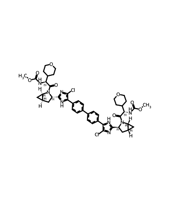 COC(=O)N[C@H](C(=O)N1[C@@H]2C[C@@H]2C[C@H]1c1nc(Cl)c(-c2ccc(-c3ccc(-c4[nH]c([C@@H]5C[C@H]6C[C@H]6N5C(=O)[C@@H](NC(=O)OC)C5CCOCC5)nc4Cl)cc3)cc2)[nH]1)C1CCOCC1